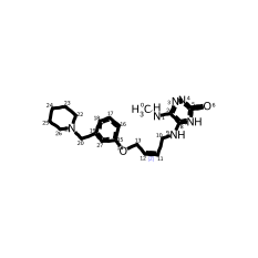 CNc1nnc(=O)[nH]c1NC/C=C\COc1cccc(CN2CCCCC2)c1